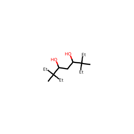 CCC(C)(CC)C(O)CC(O)C(C)(CC)CC